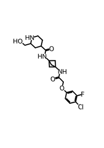 O=C(COc1ccc(Cl)c(F)c1)NC12CC(NC(=O)C3CCNC(CO)C3)(C1)C2